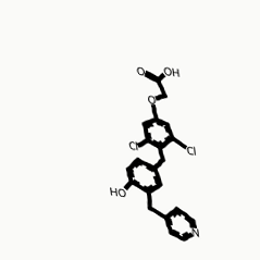 O=C(O)COc1cc(Cl)c(Cc2ccc(O)c(Cc3ccncc3)c2)c(Cl)c1